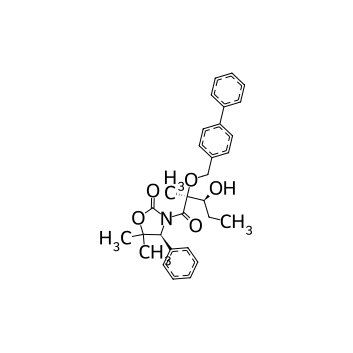 CC[C@H](O)[C@](C)(OCc1ccc(-c2ccccc2)cc1)C(=O)N1C(=O)OC(C)(C)[C@@H]1c1ccccc1